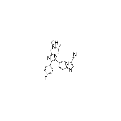 CN1CCn2c(nc(-c3ccc(F)cc3)c2-c2ccc3ncc(C#N)n3c2)C1